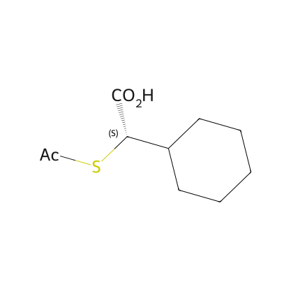 CC(=O)S[C@H](C(=O)O)C1CCCCC1